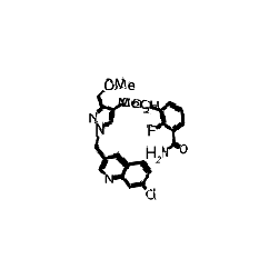 COCc1nn(Cc2cnc3cc(Cl)ccc3c2)cc1C(=O)O.COc1cccc(C(N)=O)c1F